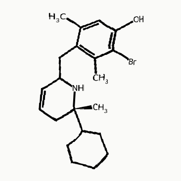 Cc1cc(O)c(Br)c(C)c1CC1C=CC[C@@](C)(C2CCCCC2)N1